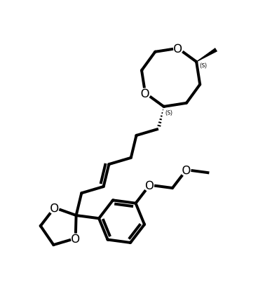 COCOc1cccc(C2(CC=CCCC[C@H]3CC[C@H](C)OCCO3)OCCO2)c1